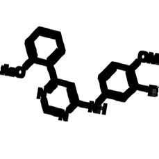 CCc1cc(Nc2cc(-c3ccccc3OC)ncn2)ccc1OC